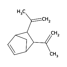 C=C(C)C1C2C=CC(C2)C1C(=C)C